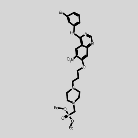 CCOP(=O)(CN1CCN(CCCOc2cc3ncnc(Nc4cccc(Br)c4)c3cc2[N+](=O)[O-])CC1)OCC